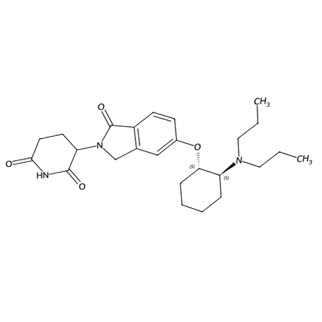 CCCN(CCC)[C@H]1CCCC[C@@H]1Oc1ccc2c(c1)CN(C1CCC(=O)NC1=O)C2=O